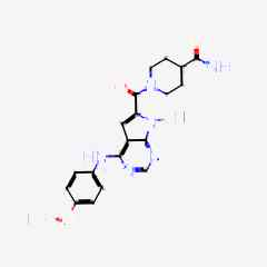 Cn1c(C(=O)N2CCC(C(N)=O)CC2)cc2c(Nc3ccc(OC(F)(F)F)cc3)ncnc21